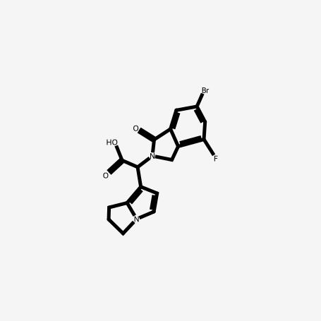 O=C(O)C(c1ccn2c1CCC2)N1Cc2c(F)cc(Br)cc2C1=O